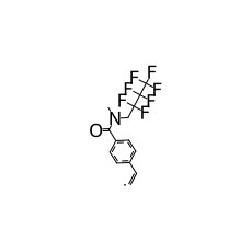 [CH]=Cc1ccc(C(=O)N(C)CC(F)(F)C(F)(F)C(F)(F)F)cc1